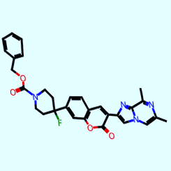 Cc1cn2cc(-c3cc4ccc(C5(F)CCN(C(=O)OCc6ccccc6)CC5)cc4oc3=O)nc2c(C)n1